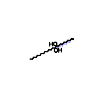 C=C/C=C/C=C/C=C/C=C(\O)C(O)CCCCCCCCCCCCC